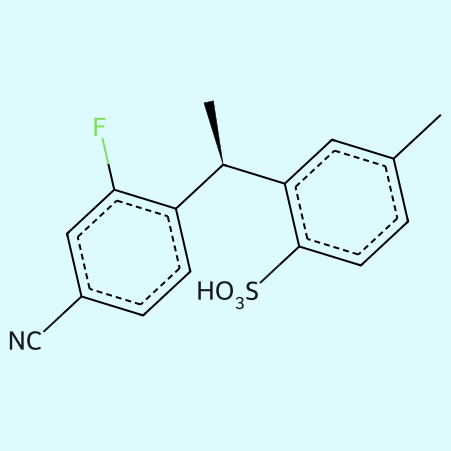 Cc1ccc(S(=O)(=O)O)c([C@H](C)c2ccc(C#N)cc2F)c1